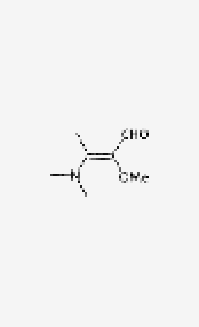 COC(C=O)=C(C)N(C)C